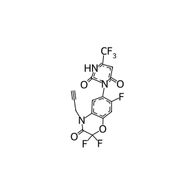 C#CCN1C(=O)C(F)(F)Oc2cc(F)c(-n3c(=O)cc(C(F)(F)F)[nH]c3=O)cc21